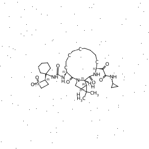 CC1(C)[C@@H]2[C@H]3C(=O)N[C@H](C(=O)C(=O)NC4CC4)CCCCCCCCC[C@H](NC(=O)NC4([C@H]5CCS5(=O)=O)CCCCC4)C(=O)N3C[C@@H]21